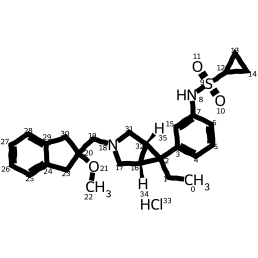 CCC1(c2cccc(NS(=O)(=O)C3CC3)c2)[C@@H]2CN(CC3(OC)Cc4ccccc4C3)C[C@@H]21.Cl